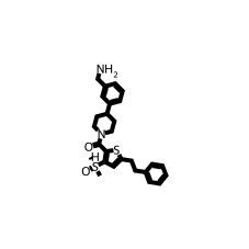 C[SH](C)(=O)c1cc(CCc2ccccc2)sc1C(=O)N1CCC(c2cccc(CN)c2)CC1